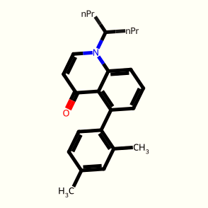 CCCC(CCC)n1ccc(=O)c2c(-c3ccc(C)cc3C)cccc21